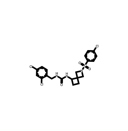 O=C(NCc1ccc(Cl)cc1Cl)NC1CCC12CN(S(=O)(=O)c1ccc(Cl)cc1)C2